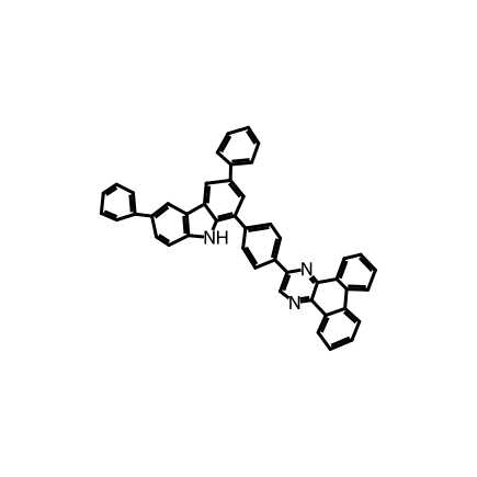 c1ccc(-c2ccc3[nH]c4c(-c5ccc(-c6cnc7c8ccccc8c8ccccc8c7n6)cc5)cc(-c5ccccc5)cc4c3c2)cc1